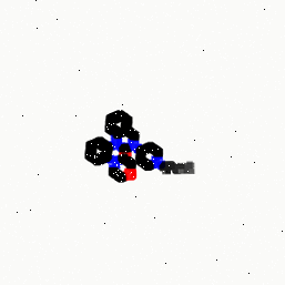 CCCC(C)N1CCC(N(Cc2ccccc2)C(=O)Nc2ccccc2N2CCOCC2)CC1